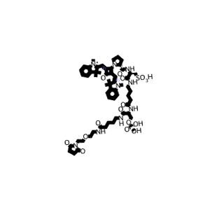 CN1/C(=C/C2=C(N3CCC[C@@H]3C(=O)N[C@@H](CS(=O)(=O)O)C(=O)NCCCCC(=O)NC(COP(=O)(O)O)C(=O)NCCCCC(=O)NCCOCCN3C(=O)C=CC3=O)C(=C/C3=[N+](C)c4ccccc4C3(C)C)/C2=O)C(C)(C)c2ccccc21